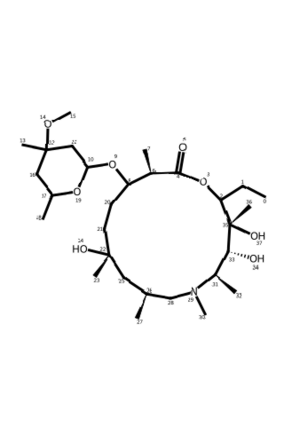 CCC1OC(=O)[C@H](C)C(OC2CC(C)(OC)CC(C)O2)CC[C@@](C)(O)C[C@H](C)CN(C)[C@H](C)[C@@H](O)[C@@]1(C)O